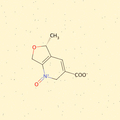 C[C@H]1OCC2=C1C=C(C(=O)[O-])C[N+]2=O